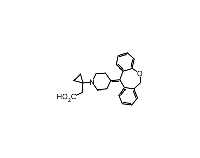 O=C(O)CC1(N2CCC(=C3c4ccccc4COc4ccccc43)CC2)CC1